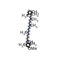 C=C1C=CCC(C)(C)[C@H]1/C=C/C(C)=C/C=C/C(C)=C/C=C/C=C(C)/C=C/C=C/C=C/C1C(C)C[C@@H](OC)CC1(C)C